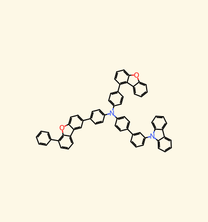 c1ccc(-c2cccc3c2oc2ccc(-c4ccc(N(c5ccc(-c6cccc(-n7c8ccccc8c8ccccc87)c6)cc5)c5ccc(-c6cccc7oc8ccccc8c67)cc5)cc4)cc23)cc1